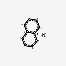 [N].c1ccc2ccccc2c1